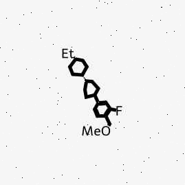 CC[C@H]1CC[C@H](C2CCC(c3ccc(COC)c(F)c3)CC2)CC1